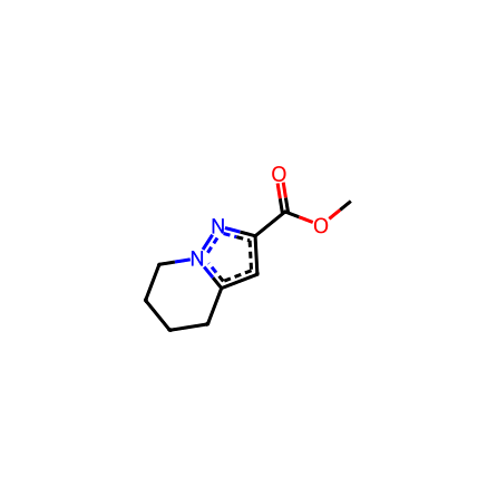 COC(=O)c1cc2n(n1)CCCC2